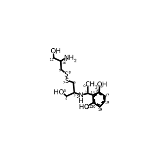 CC(NC(CO)CSSCC(N)CO)c1c(O)cccc1O